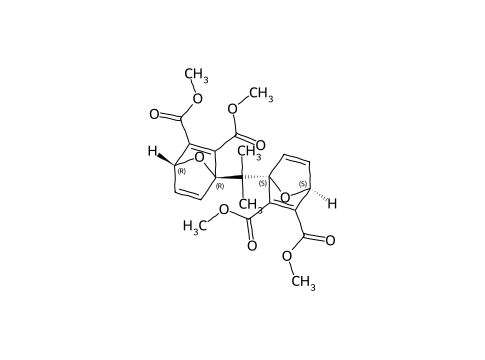 COC(=O)C1=C(C(=O)OC)[C@@]2(C(C)(C)[C@@]34C=C[C@@H](O3)C(C(=O)OC)=C4C(=O)OC)C=C[C@@H]1O2